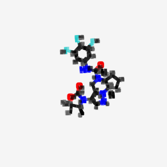 C[C@@H]1N(c2cnn3c2CN(C(=O)Nc2cc(F)c(F)c(F)c2)[C@H]2CCC[C@H]23)C(=O)OC1(C)C